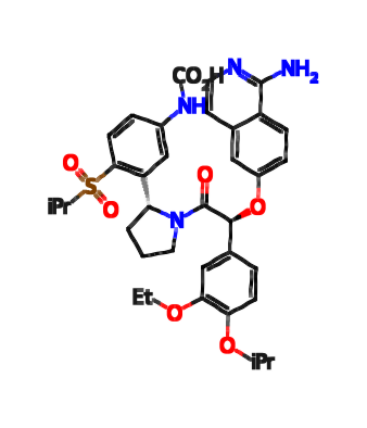 CCOc1cc([C@H](Oc2ccc3c(N)nccc3c2)C(=O)N2CCC[C@@H]2c2cc(NC(=O)O)ccc2S(=O)(=O)C(C)C)ccc1OC(C)C